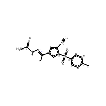 [C-]#[N+]c1cc(/C(C)=N/NC(N)=O)cn1S(=O)(=O)c1ccc(C)cc1